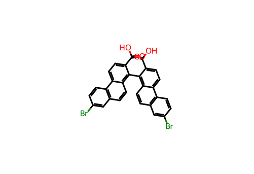 O=C(O)c1ccc2c(ccc3cc(Br)ccc32)c1-c1c(C(=O)O)ccc2c1ccc1cc(Br)ccc12